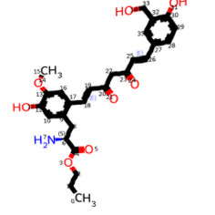 CCCOC(=O)[C@@H](N)Cc1cc(O)c(OC)cc1/C=C/C(=O)CC(=O)/C=C/c1ccc(O)c(CO)c1